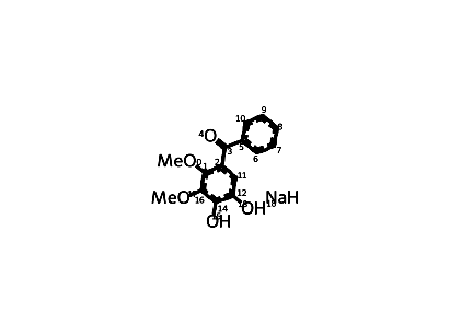 COc1c(C(=O)c2ccccc2)cc(O)c(O)c1OC.[NaH]